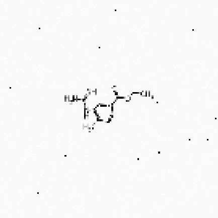 CCOC(=O)c1ccc(C)c(NC(=N)N)c1